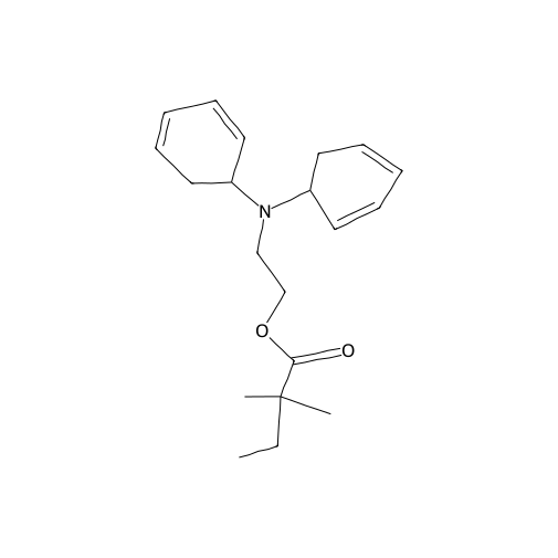 CCC(C)(C)C(=O)OCCN(C1C=CC=CC1)C1C=CC=CC1